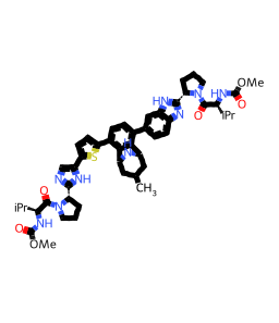 COC(=O)N[C@H](C(=O)N1CCC[C@H]1c1ncc(-c2ccc(-c3ccc(-c4ccc5nc([C@@H]6CCCN6C(=O)[C@@H](NC(=O)OC)C(C)C)[nH]c5c4)c4c3C3CC(C)CC4N3)s2)[nH]1)C(C)C